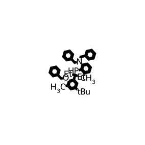 CCC(CC)(Pc1c(C)cccc1N(Cc1ccccc1)Cc1ccccc1)c1cc(C(C)(C)C)cc(C)c1OCc1ccccc1